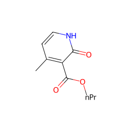 CCCOC(=O)c1c(C)cc[nH]c1=O